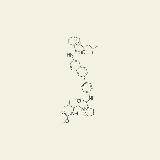 COC(=O)N[C@H](C(=O)N1CC2CCC1(C(=O)Nc1ccc(-c3ccc4cc(NC(=O)C56CCC(CN5C(=O)CC(C)C)C6)ccc4c3)cc1)C2)C(C)C